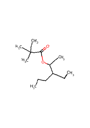 CCCC(CC)C(C)OC(=O)C(C)(C)C